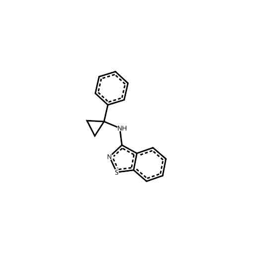 c1ccc(C2(Nc3nsc4ccccc34)CC2)cc1